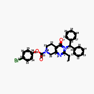 CCc1nc2c(c(=O)n1C(c1ccccc1)c1ccccc1)CCN(C(=O)Oc1ccc(Br)cc1)C2